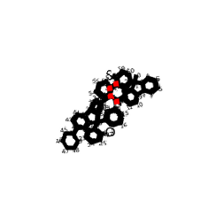 CC1(C)c2ccccc2-c2ccc(N(c3ccc4c(c3)C3(c5ccccc5O4)c4cc(C5CCCCC5)ccc4-c4ccc(C5CCCCC5)cc43)c3cccc4sc5ccccc5c34)cc21